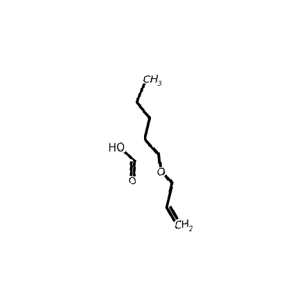 C=CCOCCCCC.O=CO